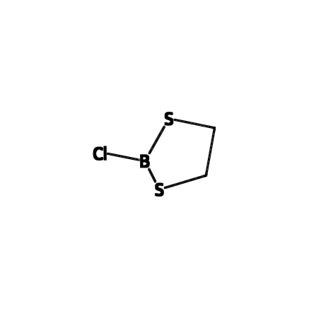 ClB1SCCS1